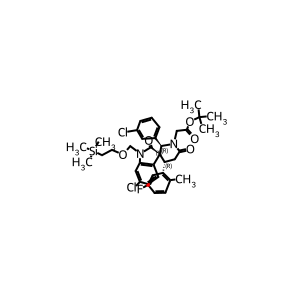 Cc1ccc(F)cc1[C@H]1CC(=O)N(CC(=O)OC(C)(C)C)[C@H](c2cccc(Cl)c2)[C@]12C(=O)N(COCC[Si](C)(C)C)c1cc(Cl)ccc12